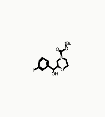 CC(C)(C)OC(=O)N1CCOC([C@@H](O)c2cccc(I)c2)C1